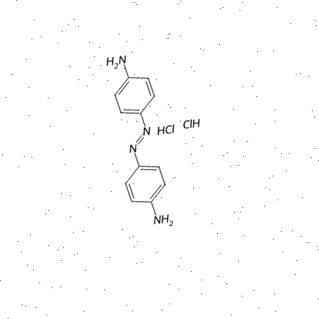 Cl.Cl.Nc1ccc(N=Nc2ccc(N)cc2)cc1